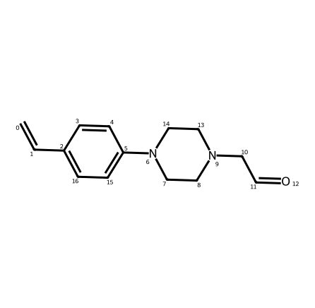 C=Cc1ccc(N2CCN(CC=O)CC2)cc1